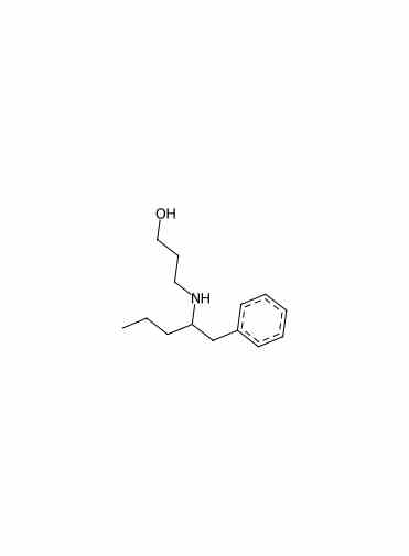 CCCC(Cc1ccccc1)NCCCO